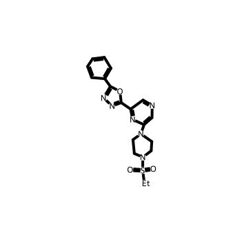 CCS(=O)(=O)N1CCN(c2cncc(-c3nnc(-c4ccccc4)o3)n2)CC1